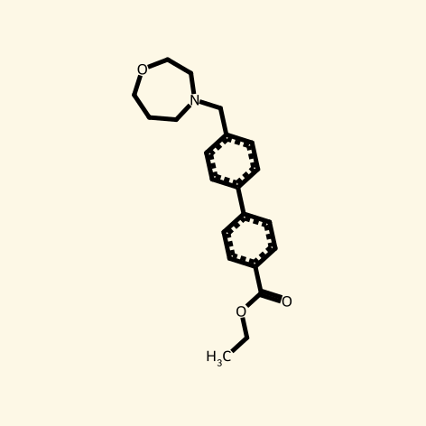 CCOC(=O)c1ccc(-c2ccc(CN3CCCOCC3)cc2)cc1